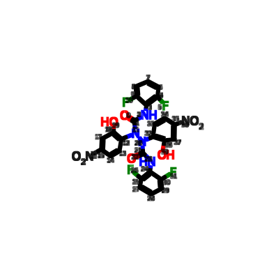 O=C(Nc1c(F)cccc1F)N(c1ccc([N+](=O)[O-])cc1O)N(C(=O)Nc1c(F)cccc1F)c1ccc([N+](=O)[O-])cc1O